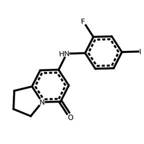 O=c1cc(Nc2ccc(I)cc2F)cc2n1CCC2